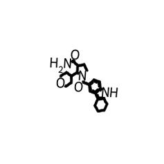 NC(=O)C1CCN(C(=O)c2ccc3[nH]c4c(c3c2)CCCC4)C1C1CCOCC1